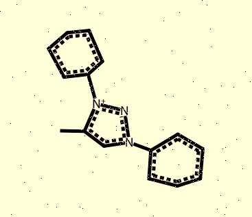 Cc1cn(-c2ccccc2)n[n+]1-c1ccccc1